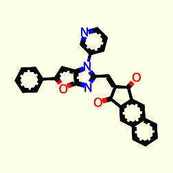 O=C1C(=Cc2nc3oc(-c4ccccc4)cc3n2-c2cccnc2)C(=O)c2cc3ccccc3cc21